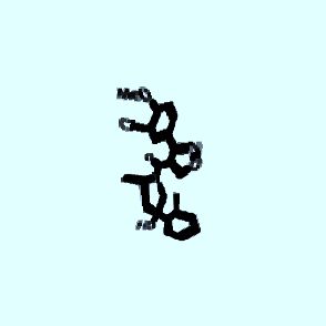 COc1ccc(-c2nocc2C(=O)N2CC(O)(c3ccccc3C)CC2C)cc1Cl